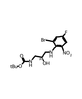 CC(C)(C)OC(=O)NC[C@H](O)CNc1c(Br)cc(F)cc1[N+](=O)[O-]